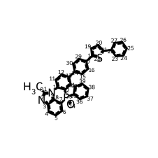 Cc1nc2cccc3c2n1-c1ccc(-c2ccc(-c4ccc(-c5ccccc5)s4)cc2)cc1P3(=O)c1ccccc1